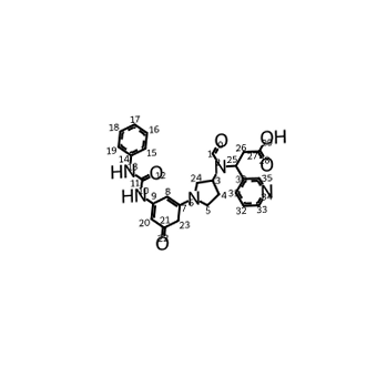 O=CN(C1CCN(C2=CC(NC(=O)Nc3ccccc3)=CC(=O)C2)C1)C(CC(=O)O)c1cccnc1